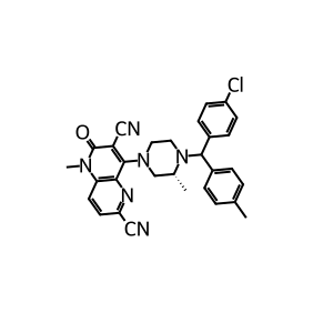 Cc1ccc(C(c2ccc(Cl)cc2)N2CCN(c3c(C#N)c(=O)n(C)c4ccc(C#N)nc34)C[C@H]2C)cc1